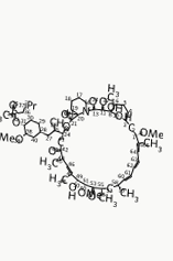 CO[C@H]1C[C@@H]2CC[C@@H](C)[C@@](O)(O2)C(=O)C(=O)N2CCCC[C@H]2C(=O)O[C@H]([C@H](C)C[C@@H]2CC[C@@H](OP(C)(=O)CC(C)C)[C@H](OC)C2)CC(=O)[C@H](C)/C=C(\C)[C@@H](O)[C@@H](OC)C(=O)[C@H](C)C[C@H](C)/C=C/C=C/C=C/1C